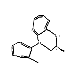 Cc1ccccc1N1C[C@H](C)Nc2cccnc21